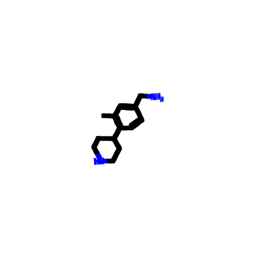 Cc1cc(CN)ccc1C1CCNCC1